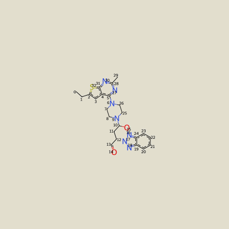 CCc1cc2c(N3CCN(C(CCC=O)On4nnc5ccccc54)CC3)nc(C)nc2s1